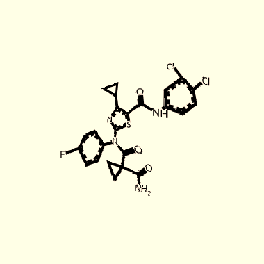 NC(=O)C1(C(=O)N(c2ccc(F)cc2)c2nc(C3CC3)c(C(=O)Nc3ccc(Cl)c(Cl)c3)s2)CC1